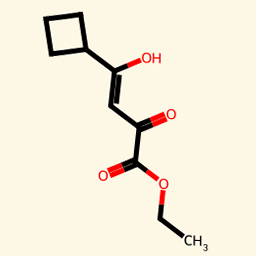 CCOC(=O)C(=O)C=C(O)C1CCC1